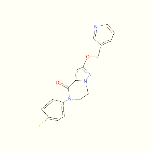 O=C1c2cc(OCc3cccnc3)nn2CCN1c1ccc(F)cc1